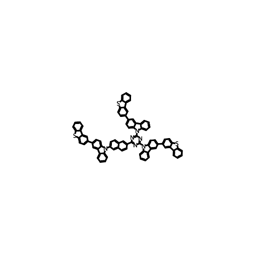 c1ccc2c(c1)sc1ccc(-c3ccc4c(c3)c3ccccc3n4-c3ccc4cc(-c5nc(-n6c7ccccc7c7cc(-c8ccc9sc%10ccccc%10c9c8)ccc76)nc(-n6c7ccccc7c7cc(-c8ccc9sc%10ccccc%10c9c8)ccc76)n5)ccc4c3)cc12